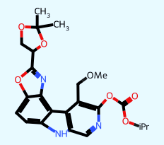 COCc1c(OC(=O)OC(C)C)ncc2[nH]c3ccc4oc(C5COC(C)(C)O5)nc4c3c12